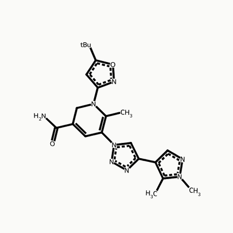 CC1=C(n2cc(-c3cnn(C)c3C)nn2)C=C(C(N)=O)CN1c1cc(C(C)(C)C)on1